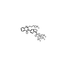 CCCCc1nc2ccccc2c(=O)n1-c1ccc2c(c1)CCN2C(=O)OC(C)(C)C